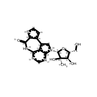 C[C@@]1(O)[C@H](O)[C@@H](CO)O[C@H]1n1cc2c3c(ncnc31)NC(=O)c1sccc1-2